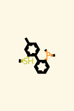 C=[SH]c1cc(C)ccc1-c1ccccc1P(C)C